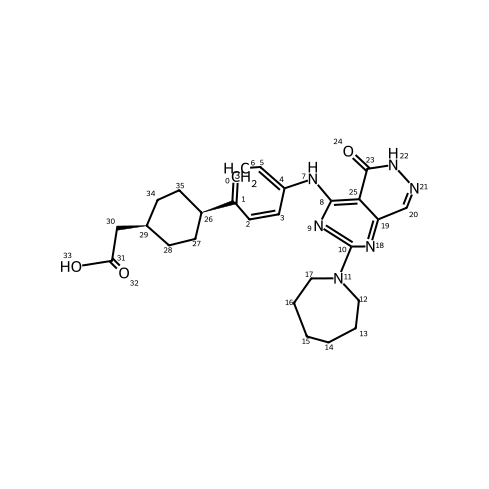 C=C(/C=C\C(=C/C)Nc1nc(N2CCCCCC2)nc2cn[nH]c(=O)c12)[C@H]1CC[C@@H](CC(=O)O)CC1